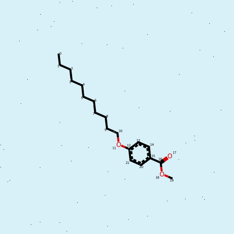 CCCCCCCCCCCOc1ccc(C(=O)OC)cc1